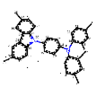 Cc1ccc2c(c1)Cc1cc(C)ccc1N2c1ccc(-n2c3ccc(C)cc3c3cc(C)ccc32)cc1